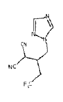 N#CC(C#N)C(Cn1cncn1)CC(F)(F)F